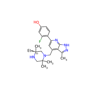 CC[C@@]1(C)CN(Cc2cc(-c3ccc(O)cc3F)nc3[nH]nc(C)c23)C(C)(C)CN1